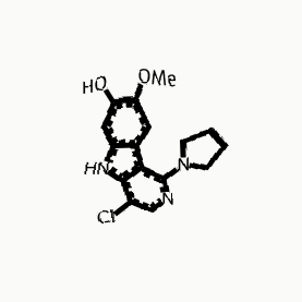 COc1cc2c(cc1O)[nH]c1c(Cl)cnc(N3CCCC3)c12